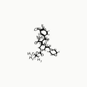 CC(C)(C)OC(=O)N1Cc2c(C(N)=O)c(-c3ccc(F)c(Cl)c3)nn2C(CN2CCOCC2)C1